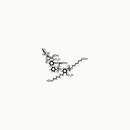 CCCCCCCCCCCCCCCCOP(=O)([O-])[O-].CCCCCCCCCCCCCCCCc1ccccc1S(=O)(=O)O.CCCCCCCCCCCCC[CH2][K].CCCCCCCCCCCCOS(=O)(=O)c1ccccc1.CCCCCCCCCCc1ccccc1S(=O)(=O)O.O=P([O-])([O-])O.[K+].[K+].[K+].[K+]